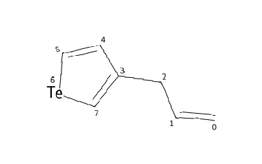 C=CCc1cc[te]c1